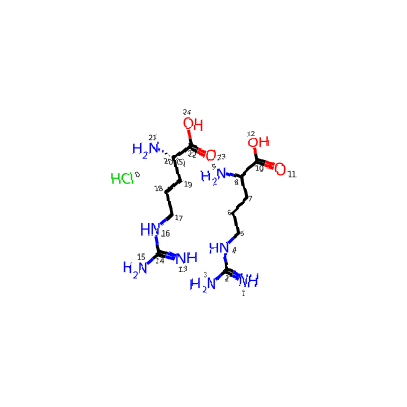 Cl.N=C(N)NCCCC(N)C(=O)O.N=C(N)NCCC[C@H](N)C(=O)O